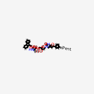 CCCCCc1ccc(-c2cc3cn(C4CC(O)C(COC(=O)[C@@H](NC(=O)OCC5c6ccccc6-c6ccccc65)C(C)C)O4)c(=O)nc3o2)cc1